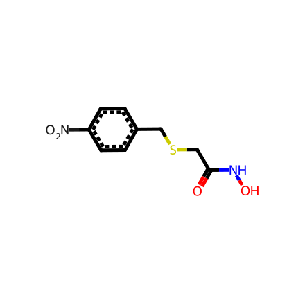 O=C(CSCc1ccc([N+](=O)[O-])cc1)NO